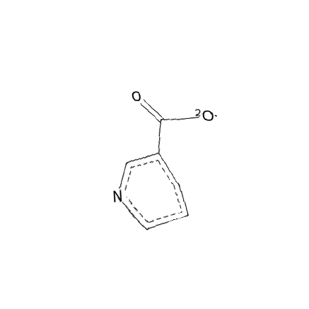 O=C([2O])c1cccnc1